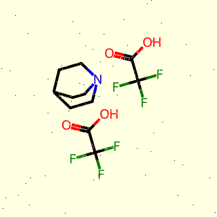 C1CN2CCC1CC2.O=C(O)C(F)(F)F.O=C(O)C(F)(F)F